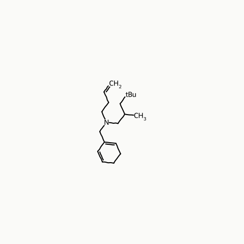 C=CCCN(CC1=CCCC=C1)CC(C)CC(C)(C)C